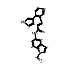 O=C(/C=C/c1cnccc1-c1cn[nH]c1)Nc1ccc2c(ccn2CC(F)(F)F)c1